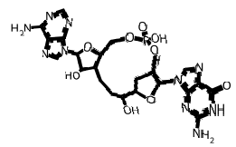 Nc1nc2c(ncn2C2OC3C[C@@H]2OP(=O)(O)OCC2OC(n4cnc5c(N)ncnc54)C(O)C2CCC3O)c(=O)[nH]1